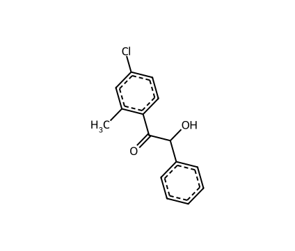 Cc1cc(Cl)ccc1C(=O)C(O)c1ccccc1